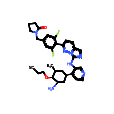 C[C@H]1C[C@@H](c2ccncc2Nc2ncc3ccc(-c4c(F)cc(CN5CCCC5=O)cc4F)nn23)C[C@@H](N)[C@H]1OCCC#N